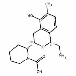 Cc1ccc2c(c1O)C[C@@H](C1CCCCN1C(=O)O)O[C@H]2CN